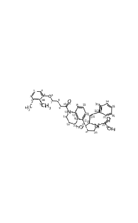 Cc1cccc(OCCCC(=O)N2CCCc3c2cccc3[C@]2(O)CCN(C(=O)O)C2Cc2ccccc2)c1C